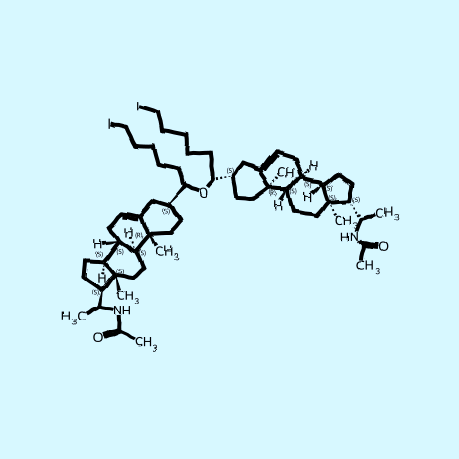 CC(=O)NC(C)[C@H]1CC[C@H]2[C@@H]3CC=C4C[C@@H](C(CCCCCI)OC(CCCCCI)[C@H]5CC[C@@]6(C)C(=CC[C@H]7[C@@H]8CC[C@H](C(C)NC(C)=O)[C@@]8(C)CC[C@@H]76)C5)CC[C@]4(C)[C@H]3CC[C@]12C